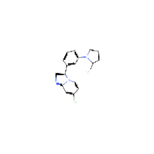 CC1CCCN1c1cccc(-c2cnc3cc(Cl)ccn23)c1